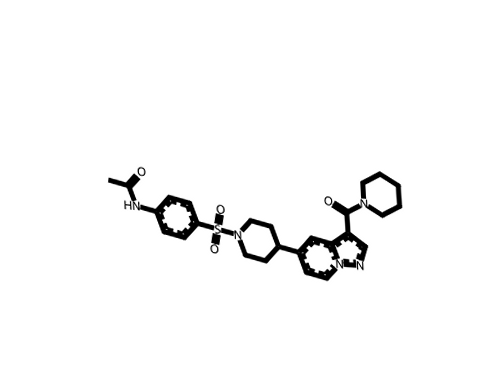 CC(=O)Nc1ccc(S(=O)(=O)N2CCC(c3ccn4ncc(C(=O)N5CCCCC5)c4c3)CC2)cc1